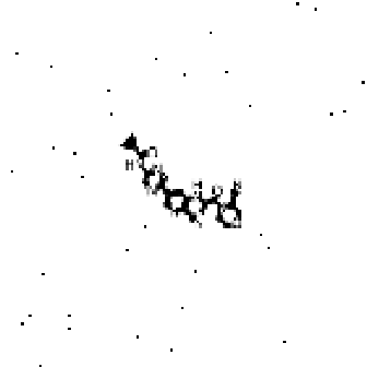 CC(Nc1cc(-c2cnc(NC(=O)C3CC3)cn2)cnc1C#N)C(=O)N1CCOCC1C#N